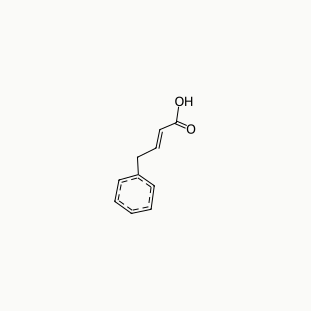 O=C(O)/C=C/Cc1ccccc1